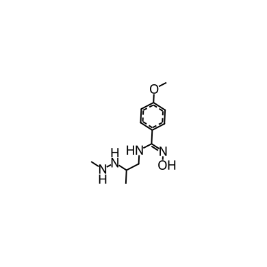 CNNC(C)CN/C(=N\O)c1ccc(OC)cc1